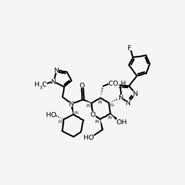 Cn1nccc1CN(C(=O)[C@@H]1O[C@H](CO)[C@H](O)[C@@H](n2cc(-c3cccc(F)c3)nn2)[C@H]1CC(=O)O)[C@H]1CCCC[C@@H]1O